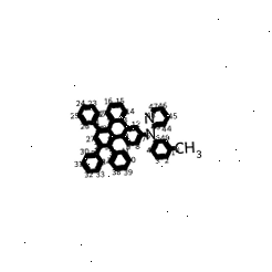 Cc1cccc(N(c2ccc3c(c2)c2ccccc2c2c(-c4ccccc4)cc(-c4ccccc4)c(-c4ccccc4)c32)c2ccccn2)c1